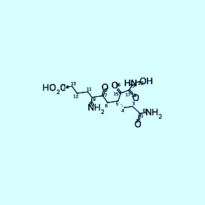 NC(=O)CC[C@H](CC(=O)[C@@H](N)CCCC(=O)O)C(=O)C(=O)NO